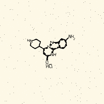 Cl.Nc1ccc2c(c1)nn1c(C3CCNCC3)cc(=O)[nH]c21